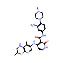 Cc1c(Nc2cc[nH]c(=O)c2C(=O)Nc2ccc(N3CCN(C)CC3)c(N)c2)cnc2c1NCC(C)O2